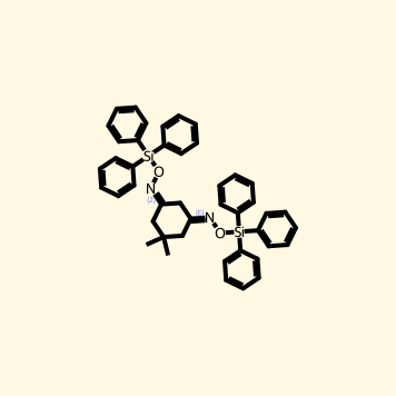 CC1(C)C/C(=N/O[Si](c2ccccc2)(c2ccccc2)c2ccccc2)C/C(=N/O[Si](c2ccccc2)(c2ccccc2)c2ccccc2)C1